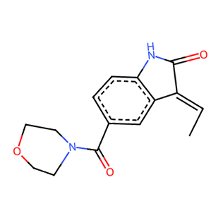 C/C=C1/C(=O)Nc2ccc(C(=O)N3CCOCC3)cc21